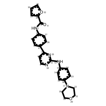 O=C(Nc1ccc(-c2ccnc(Nc3ccc(N4CCOCC4)cc3)n2)cc1)c1ccco1